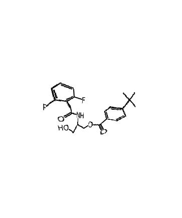 CC(C)(C)c1ccc(C(=O)OCC(CO)NC(=O)c2c(F)cccc2F)cc1